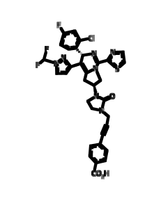 O=C(O)c1ccc(C#CCN2CCN([C@H]3CC4=C(c5ccn(C(F)F)n5)[C@H](c5ccc(F)cc5Cl)N=C(c5nccs5)N4C3)C2=O)cc1